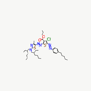 CCCCCc1ccc(N=Nc2sc(N=Nc3sc(N(CC(CC)CCCC)CC(CC)CCCC)nc3C)c(C(=O)OCCC)c2Cl)cc1